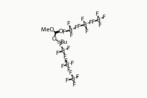 CCCCOC(=O)OC.F[B-](F)(F)F.F[B-](F)(F)F.F[B-](F)(F)F.F[B-](F)(F)F.F[B-](F)(F)F.F[B-](F)(F)F